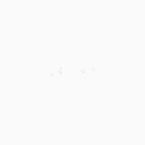 CC(C)NCC1CN(C)C1